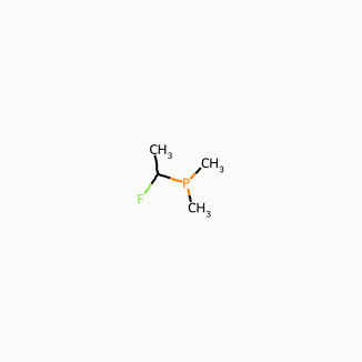 CC(F)P(C)C